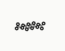 c1ccc(N(c2ccccc2)c2cccc3c(B4c5ccccc5B5c6cccc7c6B(c6ccccc6B7c6cccc7c(-n8c9ccccc9c9ccccc98)cccc67)c6cccc4c65)cccc23)cc1